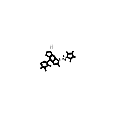 CC1=Cc2c(cc3c(c2-c2ccc(C)c(C)c2C)CCC3)[CH]1[Zr+2][Si](C)(C)C1C(C)=C(C)C(C)=C1C.[Cl-].[Cl-]